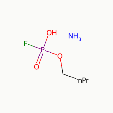 CCCCOP(=O)(O)F.N